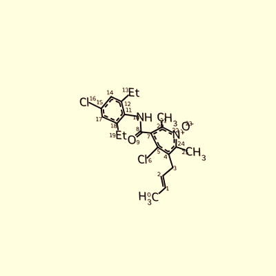 CC=CCc1c(Cl)c(C(=O)Nc2c(CC)cc(Cl)cc2CC)c(C)[n+]([O-])c1C